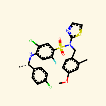 COc1ccc(CN(c2nccs2)S(=O)(=O)c2cc(Cl)c(N[C@@H](C)c3ccc(Cl)cc3)cc2F)c(C)c1